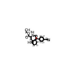 CCOC(=O)C1=CC23C(=CCN1)C=CC=C2NCC3C(=O)c1ccc(C#N)cc1